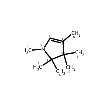 CC1=CN(C)C(C)(C)C1(C)C